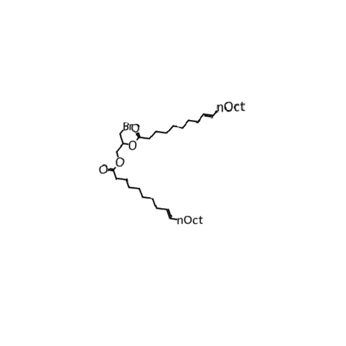 CCCCCCCCC=CCCCCCCCC(=O)OCC(CBr)OC(=O)CCCCCCCC=CCCCCCCCC